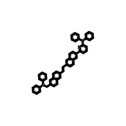 C(=C\c1ccc2cc(-c3cccc(N(c4ccccc4)c4ccccc4)n3)ccc2c1)/c1ccc2cc(CN(c3ccccc3)c3ccccc3)ccc2c1